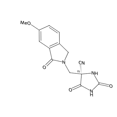 COc1ccc2c(c1)C(=O)N(C[C@@]1(C#N)NC(=O)NC1=O)C2